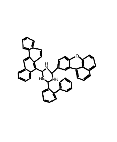 c1ccc(-c2ccccc2C2NC(c3ccc4c(c3)-c3cccc5cccc(c35)O4)NC(c3c4ccccc4cc4c3ccc3ccccc34)N2)cc1